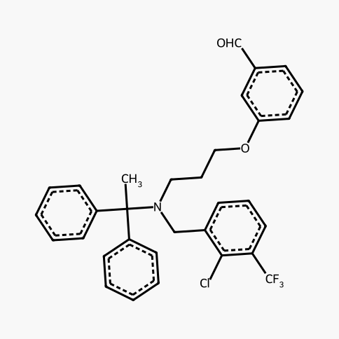 CC(c1ccccc1)(c1ccccc1)N(CCCOc1cccc(C=O)c1)Cc1cccc(C(F)(F)F)c1Cl